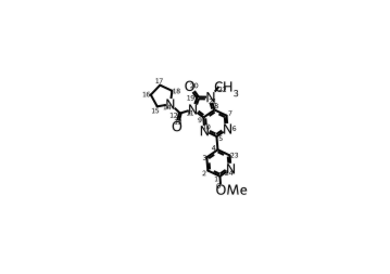 COc1ccc(-c2ncc3c(n2)n(C(=O)N2CCCC2)c(=O)n3C)cn1